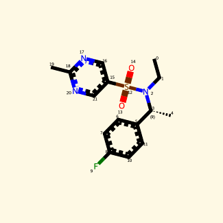 CCN([C@H](C)c1ccc(F)cc1)S(=O)(=O)c1cnc(C)nc1